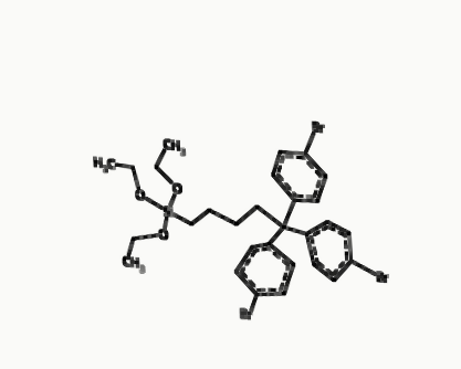 CCO[Si](CCCCC(c1ccc(Br)cc1)(c1ccc(Br)cc1)c1ccc(Br)cc1)(OCC)OCC